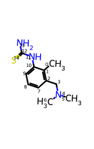 Cc1c(CN(C)C)cccc1NC(N)=S